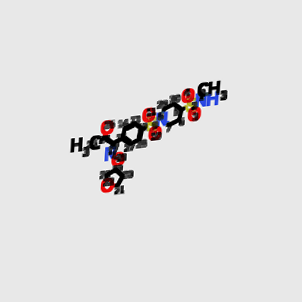 CNS(=O)(=O)C1CCN(S(=O)(=O)c2ccc(/C(=N\O[C@@H]3CCOC3)C(C)=O)cc2)CC1